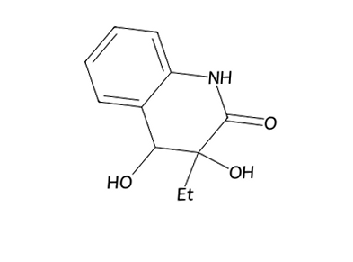 CCC1(O)C(=O)Nc2ccccc2C1O